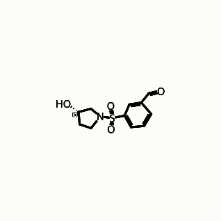 O=Cc1cccc(S(=O)(=O)N2CC[C@H](O)C2)c1